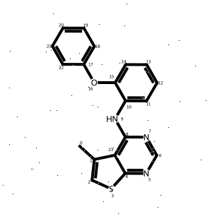 Cc1csc2ncnc(Nc3ccccc3Oc3ccccc3)c12